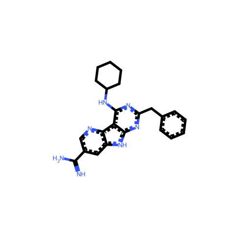 N=C(N)c1cnc2c(c1)[nH]c1nc(Cc3ccccc3)nc(NC3CCCCC3)c12